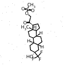 C[C@]12CCC3[C@H]4CC[C@](O)(C(F)(F)F)C[C@H]4CC[C@H]3[C@@H]1CC[C@@H]2C(=O)COS(C)(=O)=O